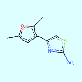 Cc1cc(-c2csc(N)n2)c(C)o1